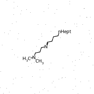 CCCCCCCCCCC=NCCCN(C)C